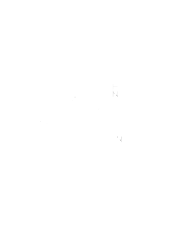 CC(Cl)c1ccn2cc[nH]c(=O)c12